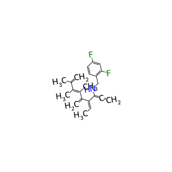 C=C=C(NCc1ccc(F)cc1F)/C(=C/C)C(=C)/C(C)=C(\C)C(=C)C